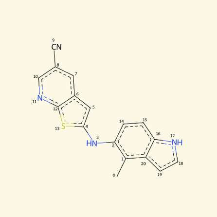 Cc1c(Nc2cc3cc(C#N)cnc3s2)ccc2[nH]ccc12